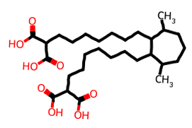 CC1CCCC(C)C(CCCCCCCC(C(=O)O)C(=O)O)C1CCCCCCCC(C(=O)O)C(=O)O